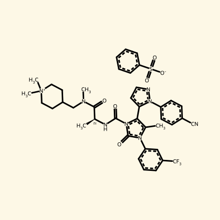 Cc1c(-c2ccnn2-c2ccc(C#N)cc2)n(C(=O)N[C@@H](C)C(=O)N(C)CC2CC[N+](C)(C)CC2)c(=O)n1-c1cccc(C(F)(F)F)c1.O=S(=O)([O-])c1ccccc1